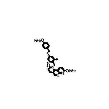 COc1ccc(CSc2cc(F)c(Cn3c(=O)ccc4cnc5nc(OC)ccc5c43)c(F)c2)cc1